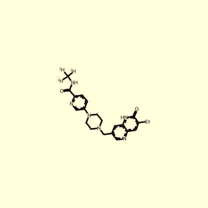 [2H]C([2H])([2H])NC(=O)c1ccc(N2CCN(Cc3cnc4cc(CC)c(=O)[nH]c4c3)CC2)cn1